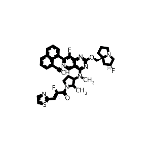 C#Cc1cccc2cccc(-c3ncc4c(N(C)C5CCN(C(=O)/C(F)=C/c6nccs6)C5C)nc(OC[C@@]56CCCN5C[C@H](F)C6)nc4c3F)c12